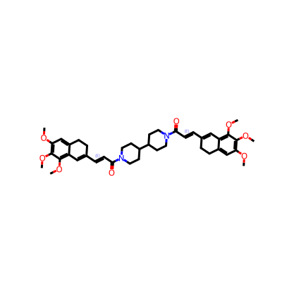 COc1cc2c(c(OC)c1OC)C=C(/C=C/C(=O)N1CCC(C3CCN(C(=O)/C=C/C4=Cc5c(cc(OC)c(OC)c5OC)CC4)CC3)CC1)CC2